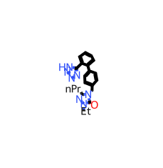 CCCc1nn(CC)c(=O)n1Cc1ccc(-c2ccccc2-c2nnn[nH]2)cc1